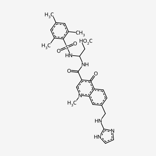 Cc1cc(C)c(S(=O)(=O)NC(CC(=O)O)NC(=O)c2cn(C)c3cc(CNc4ncc[nH]4)ccc3c2=O)c(C)c1